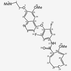 CNCCOc1cc2nccc(Oc3c(F)cc(NC(=O)C4=C/CCC/C=C/C=C\4OC)cc3F)c2cc1OC